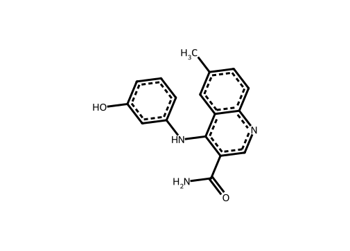 Cc1ccc2ncc(C(N)=O)c(Nc3cccc(O)c3)c2c1